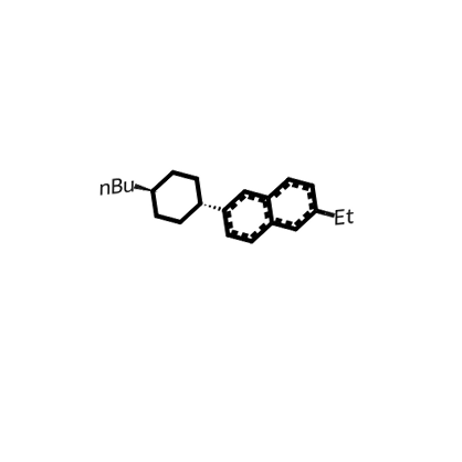 CCCC[C@H]1CC[C@H](c2ccc3cc(CC)ccc3c2)CC1